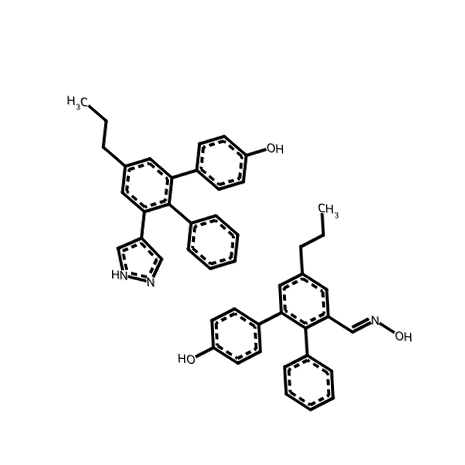 CCCc1cc(-c2ccc(O)cc2)c(-c2ccccc2)c(-c2cn[nH]c2)c1.CCCc1cc(C=NO)c(-c2ccccc2)c(-c2ccc(O)cc2)c1